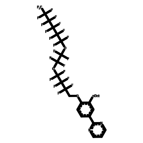 CCCCCCCCc1cc(-c2ncccn2)ccc1OCC(F)(F)C(F)(F)C(F)(F)OC(F)(F)C(F)(F)OC(F)(F)C(F)(F)C(F)(F)C(F)(F)C(F)(F)C(F)(F)F